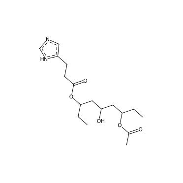 CCC(CC(O)CC(CC)OC(=O)CCc1cnc[nH]1)OC(C)=O